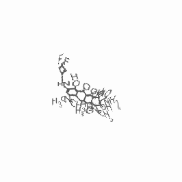 CN(C)c1cc(CNCC2CC(F)(F)C2)c(O)c2c1C[C@H]1C[C@H]3[C@H](N(C)C)C(O)=C(C(N)=O)C(=O)[C@@]3(O)C(O)=C1C2=O